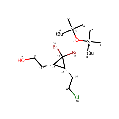 CC(C)(C)[Si](C)(C)O[Si](C)(C)C(C)(C)C.OCC[C@H]1[C@@H](CCCl)C1(Br)Br